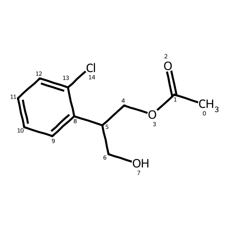 CC(=O)OCC(CO)c1ccccc1Cl